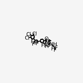 O=C(NC1(C(=O)NCCC(F)(F)F)CC1)c1ccc(C(F)=CC(c2cc(Cl)c(Cl)c(Cl)c2)C(F)(F)F)cc1C(F)(F)F